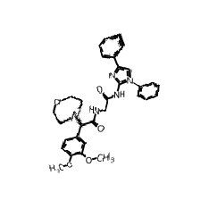 COc1ccc(C(C(=O)NCC(=O)Nc2nc(-c3ccccc3)cn2-c2ccccc2)N2CCOCC2)cc1OC